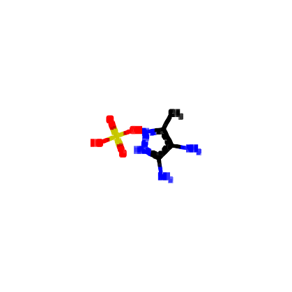 Cc1n[nH]c(N)c1N.O=S(=O)(O)O